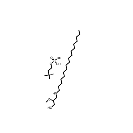 CCCCCCCCCCCCCCCCCCNCC(CO)OC.C[N+](C)(C)CCOP(=O)(O)O